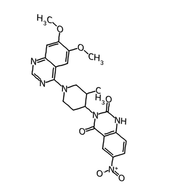 COc1cc2ncnc(N3CCC(n4c(=O)[nH]c5ccc([N+](=O)[O-])cc5c4=O)C(C)C3)c2cc1OC